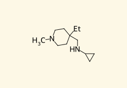 CCC1(CNC2CC2)CCN(C)CC1